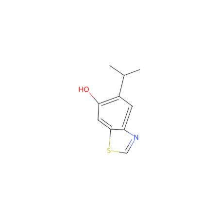 CC(C)c1cc2ncsc2cc1O